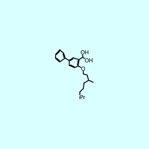 CC(C)CCCC(C)CCOc1ccc(-c2ccccc2)cc1C(O)O